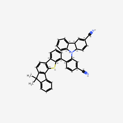 CC1(C)c2ccccc2-c2c1ccc1c2sc2c(-c3ccc(C#N)cc3N3c4ccccc4C4C=C(C#N)C=CC43)cccc21